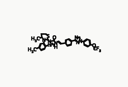 CCCc1ccc(C)cc1N1/C(=N/C(=O)N/C=C/c2ccc(-c3ncn(-c4ccc(OC(F)(F)F)cc4)n3)cc2)SCCC1C